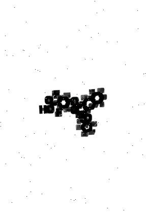 CC1(OC(=O)C2C3c4ccccc4C(c4ccccc43)C2C(=O)Oc2cc(F)c(C(=O)O)c(F)c2)CCCC1